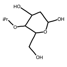 CC(C)OC1C(O)CC(O)OC1CO